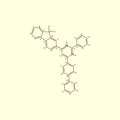 CC1(C)c2ccccc2-c2ccc(-c3cc(-c4ccc(-c5ccccc5)cc4)nc(-c4ccccc4)n3)cc21